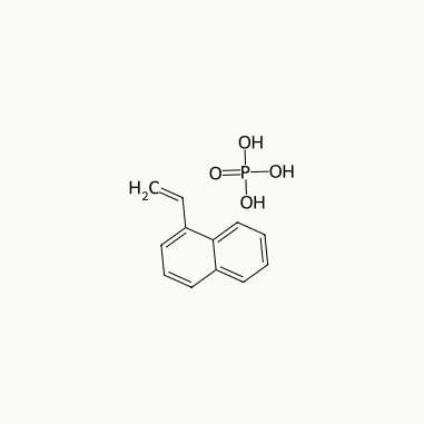 C=Cc1cccc2ccccc12.O=P(O)(O)O